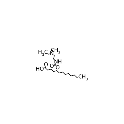 CCCCCCCCC(CCCC(=O)O)OC(=O)NCCN(C)CC